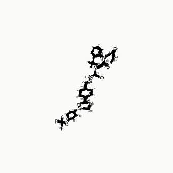 CC(C)(C)c1ccccc1N1C(=O)CS/C1=N\C(=O)N/N=C/c1ccc(-c2ncn(-c3ccc(OC(F)(F)F)cc3)n2)cc1